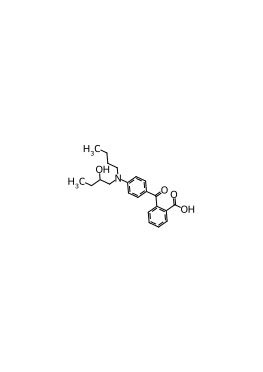 CCCCN(CC(O)CC)c1ccc(C(=O)c2ccccc2C(=O)O)cc1